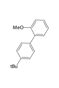 COc1ccccc1-c1ccc(C(C)(C)C)cc1